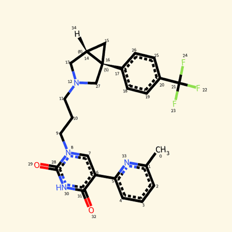 Cc1cccc(-c2cn(CCCN3C[C@@H]4C[C@]4(c4ccc(C(F)(F)F)cc4)C3)c(=O)[nH]c2=O)n1